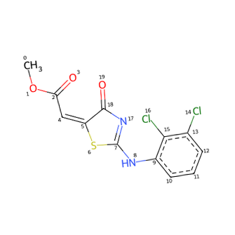 COC(=O)C=C1SC(Nc2cccc(Cl)c2Cl)=NC1=O